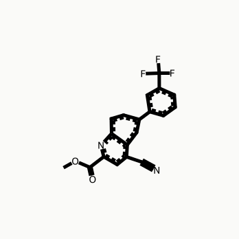 COC(=O)c1cc(C#N)c2cc(-c3cccc(C(F)(F)F)c3)ccc2n1